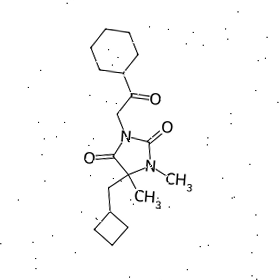 CN1C(=O)N(CC(=O)C2CCCCC2)C(=O)C1(C)CC1CCC1